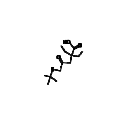 CCC(CC)(CC(=O)CSC(C)(C)C)C(=O)O